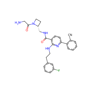 N#Cc1ccccc1-c1ccc(C(=O)NC[C@H]2CCN2C(=O)CN)c(NCCc2cccc(F)c2)n1